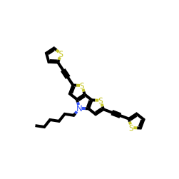 CCCCCCn1c2cc(C#Cc3cccs3)sc2c2sc(C#Cc3cccs3)cc21